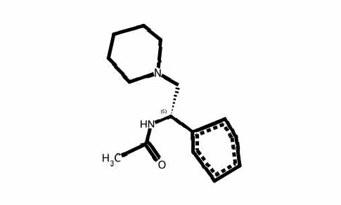 CC(=O)N[C@H](CN1CCCCC1)c1ccccc1